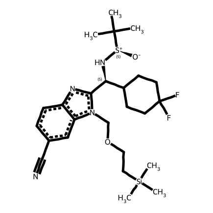 CC(C)(C)[S@@+]([O-])N[C@H](c1nc2ccc(C#N)cc2n1COCC[Si](C)(C)C)C1CCC(F)(F)CC1